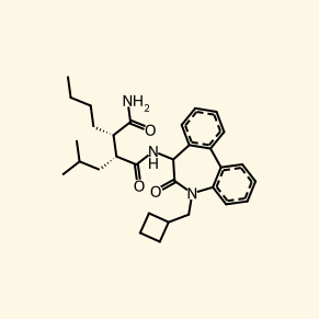 CCCC[C@H](C(N)=O)[C@@H](CC(C)C)C(=O)NC1C(=O)N(CC2CCC2)c2ccccc2-c2ccccc21